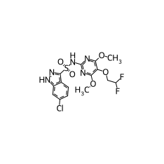 COc1nc(NS(=O)(=O)c2n[nH]c3cc(Cl)ccc23)nc(OC)c1OCC(F)F